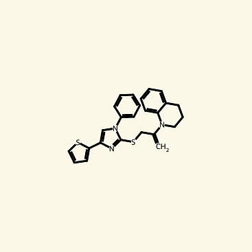 C=C(CSc1nc(-c2cccs2)cn1-c1ccccc1)N1CCCc2ccccc21